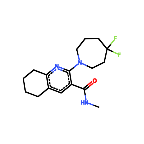 CNC(=O)c1cc2c(nc1N1CCCC(F)(F)CC1)CCCC2